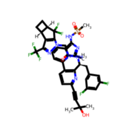 Cc1nc(NS(C)(=O)=O)c2cccc(-c3ccc(C#CC(C)(C)O)nc3[C@H](Cc3cc(F)cc(F)c3)NC(=O)Cn3nc(C(F)(F)F)c4c3C(F)(F)[C@@H]3CC[C@H]43)n12